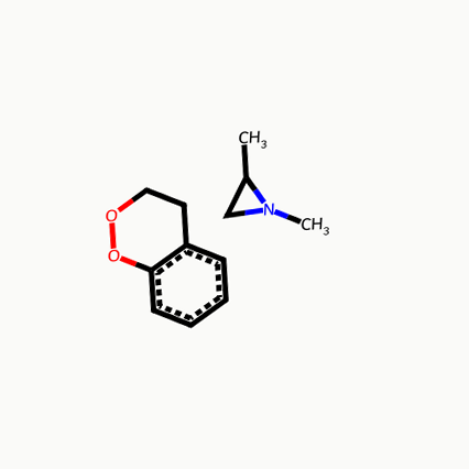 CC1CN1C.c1ccc2c(c1)CCOO2